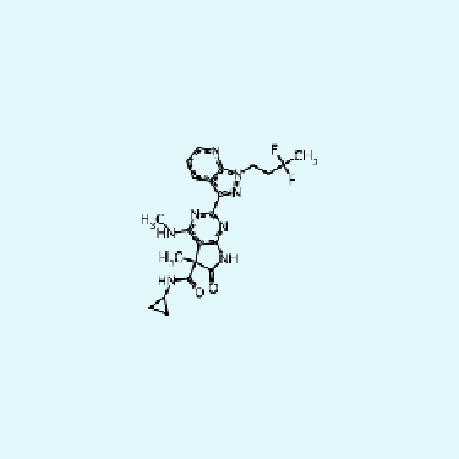 CNc1nc(-c2nn(CCC(C)(F)F)c3ncccc23)nc2c1C(C)(C(=O)NC1CC1)C(=O)N2